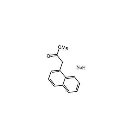 COC(=O)Cc1cccc2ccccc12.[NaH]